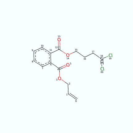 C=CCOC(=O)c1ccccc1C(=O)OCCC[SiH](Cl)Cl